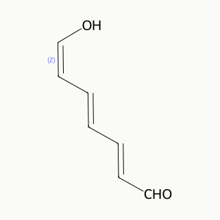 O=CC=CC=C/C=C\O